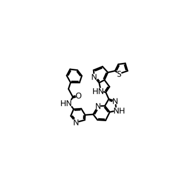 O=C(Cc1ccccc1)Nc1cncc(-c2ccc3[nH]nc(-c4cc5c(-c6cccs6)ccnc5[nH]4)c3n2)c1